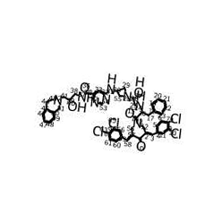 O=C1/C(=C/c2ccc(Cl)c(Cl)c2)CN(C(=O)C(Cc2ccccc2)NCC(O)N2CC(Nc3cc(C(=O)NC[C@H](O)CN4CCc5ccccc5C4)ncn3)C2)C/C1=C\c1ccc(Cl)c(Cl)c1